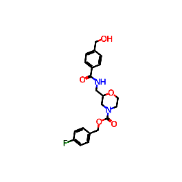 O=C(NCC1CN(C(=O)OCc2ccc(F)cc2)CCO1)c1ccc(CO)cc1